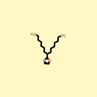 CCCCCCCC(CCCCCCC)c1ncco1